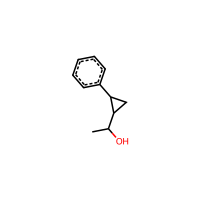 CC(O)C1CC1c1ccccc1